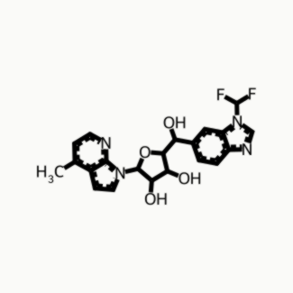 Cc1ccnc2c1ccn2C1OC(C(O)c2ccc3ncn(C(F)F)c3c2)C(O)C1O